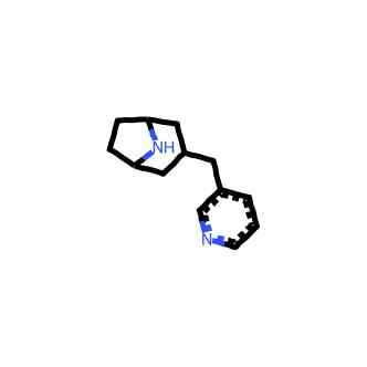 c1cncc(CC2CC3CCC(C2)N3)c1